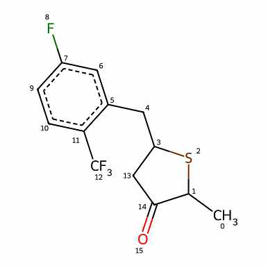 CC1SC(Cc2cc(F)ccc2C(F)(F)F)CC1=O